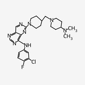 CN(C)C1CCN(CC2CCN(c3ncc4ncnc(Nc5ccc(F)c(Cl)c5)c4n3)CC2)CC1